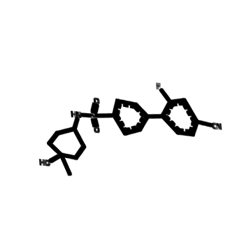 CC1(O)CCC(NS(=O)(=O)c2ccc(-c3ccc(C#N)cc3F)cc2)CC1